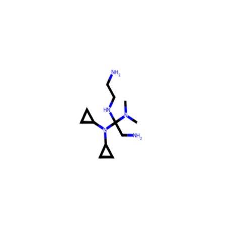 CN(C)C(CN)(NCCN)N(C1CC1)C1CC1